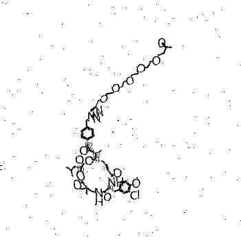 COc1ccc(C[C@H]2NC(=O)/C=C/C[C@@H]([C@H](C)[C@H]3O[C@@H]3c3ccc(Cn4cc(COCCOCCOCCOCCOCCC(C)=O)nn4)cc3)OC(=O)[C@H](CC(C)C)OC(=O)C(C)(C)CNC2=O)cc1Cl